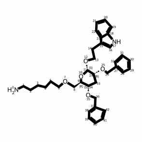 NCCCCCCOC[C@H]1O[C@H](OCCc2c[nH]c3ccccc23)[C@H](OCc2ccccc2)C[C@@H]1OCc1ccccc1